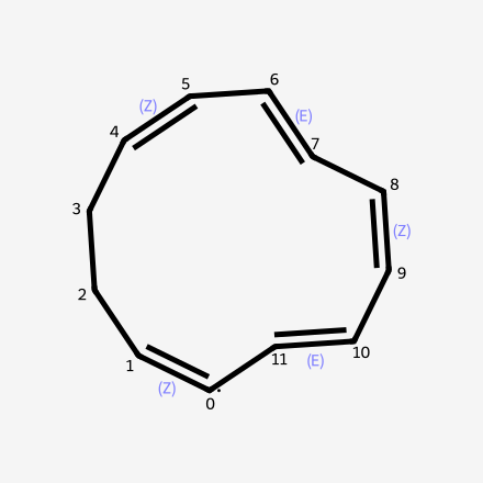 [C]1=C/CC\C=C/C=C/C=C\C=C\1